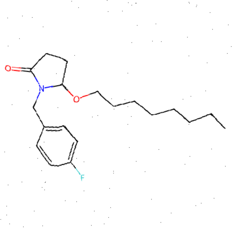 CCCCCCCCOC1CCC(=O)N1Cc1ccc(F)cc1